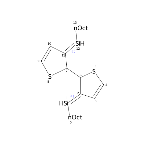 CCCCCCCC/[SiH]=C1\C=CSC1C1SC=C/C1=[SiH]\CCCCCCCC